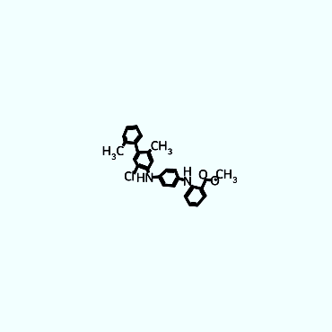 COC(=O)c1ccccc1Nc1ccc(Nc2cc(C)c(-c3ccccc3C)cc2Cl)cc1